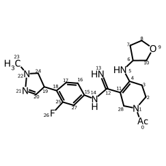 CC(=O)N1CCC(NC2CCOC2)=C(C(=N)Nc2ccc(C3C=NN(C)C3)c(F)c2)C1